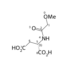 COCC(=O)N[C@@H](CC(=O)O)C(=O)O